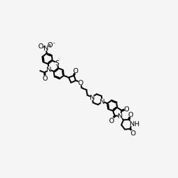 CC(=O)N1c2ccc(C3CC(OCCCN4CCN(c5ccc6c(c5)C(=O)N(C5CCC(=O)NC5=O)C6=O)CC4)C3=O)cc2Sc2cc([N+](=O)[O-])ccc21